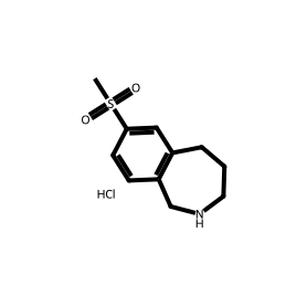 CS(=O)(=O)c1ccc2c(c1)CCCNC2.Cl